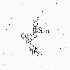 COCCN1C[C@@H](NC(=O)Nc2c(C)c(-c3cnc4c(c3)nc(N3CCCC3)n4C)nn2-c2ccccc2)[C@H](c2ccnc(F)c2)O1